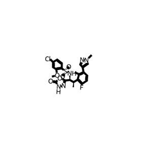 COc1cc(Cl)ccc1S(=O)(=O)N[C@H](c1n[nH]c(=O)o1)[C@H](C)c1c(F)ccc(-c2cnn(C)c2)c1C